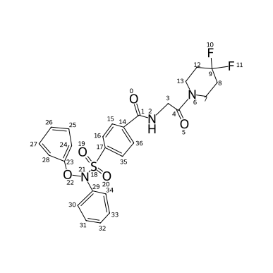 O=C(NCC(=O)N1CCC(F)(F)CC1)c1ccc(S(=O)(=O)N(Oc2ccccc2)c2ccccc2)cc1